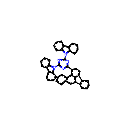 c1ccc2c(c1)-c1ccc(-c3nc(-n4c5ccccc5c5ccccc54)nc(-n4c5ccccc5c5ccccc54)n3)c3c1c-2cc1ccccc13